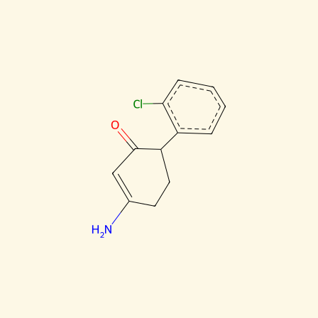 NC1=CC(=O)C(c2ccccc2Cl)CC1